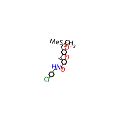 CSC(=Cc1ccc(Oc2ccc(C(=O)NCCc3ccc(Cl)cc3)cc2)c(C2CC2)c1)[S+](C)[O-]